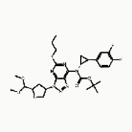 CCCSc1nc(N(C(=O)OC(C)(C)C)[C@@H]2C[C@H]2c2ccc(F)c(F)c2)c2nnn([C@H]3CO[C@@H](C(OC)OC)C3)c2n1